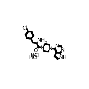 Cl.Cl.N[C@H](Cc1ccc(Cl)cc1)C(=O)N1CCN(c2ncnc3[nH]ccc23)CC1